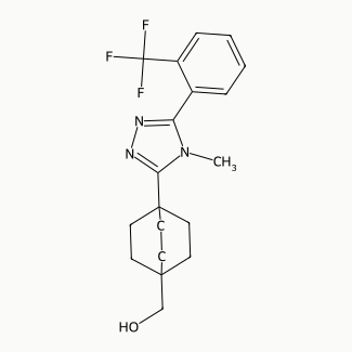 Cn1c(-c2ccccc2C(F)(F)F)nnc1C12CCC(CO)(CC1)CC2